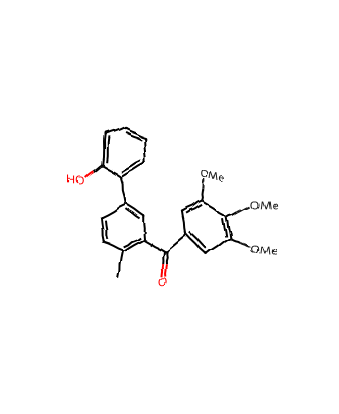 COc1cc(C(=O)c2cc(-c3ccccc3O)ccc2C)cc(OC)c1OC